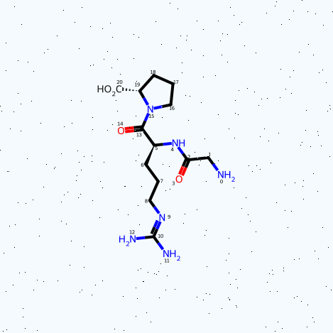 NCC(=O)N[C@@H](CCCN=C(N)N)C(=O)N1CCC[C@H]1C(=O)O